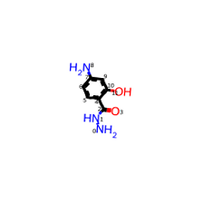 NNC(=O)c1ccc(N)cc1O